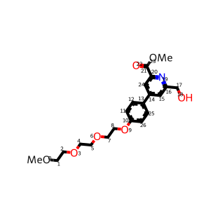 COCCOCCOCCOc1ccc(-c2cc(CO)nc(C(=O)OC)c2)cc1